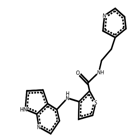 O=C(NCCc1cccnc1)c1sccc1Nc1ccnc2[nH]ccc12